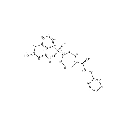 O=C(OCc1ccccc1)N1CCCN(S(=O)(=O)c2cccc3c2C(F)=CN(O)C3)CC1